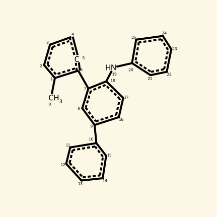 Cc1ccccc1-c1cc(-c2ccccc2)ccc1Nc1ccccc1